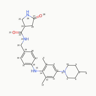 Cc1cc(N2CCC(C)CC2)cc(C)c1Nc1ccc(CNC(=O)C2CNC(=O)C2)cc1